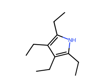 CCc1[nH]c(CC)c(CC)c1CC